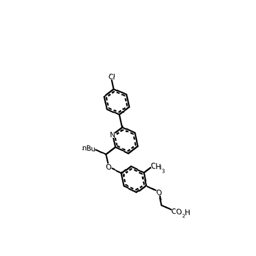 CCCCC(Oc1ccc(OCC(=O)O)c(C)c1)c1cccc(-c2ccc(Cl)cc2)n1